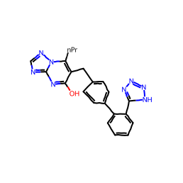 CCCc1c(Cc2ccc(-c3ccccc3-c3nnn[nH]3)cc2)c(O)nc2ncnn12